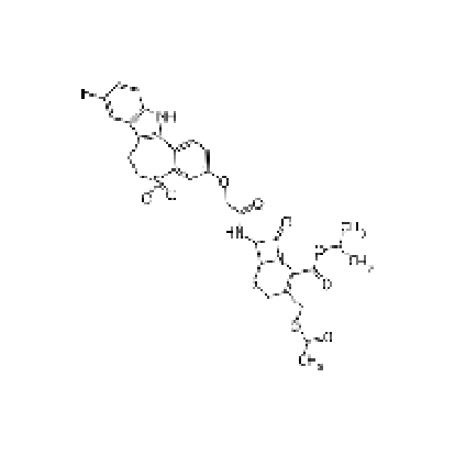 CC(=O)OCC1=C(C(=O)OC(C)C)N2C(=O)C(NC(=O)COc3ccc4c(c3)S(=O)(=O)CCc3c-4[nH]c4ccc(F)cc34)C2SC1